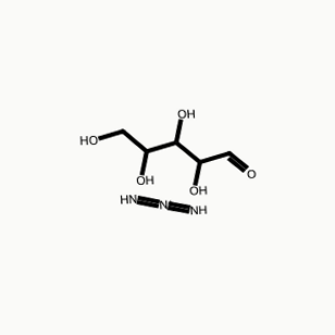 N=[N+]=N.O=CC(O)C(O)C(O)CO